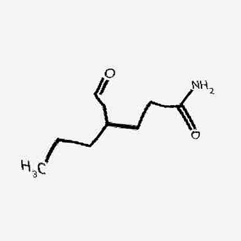 CCCC(C=O)CCC(N)=O